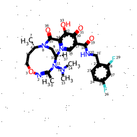 C/C1=N/OCC[C@H](C)N2C[C@H](N1N(C)C)n1cc(C(=O)NCc3ccc(F)cc3F)c(=O)c(O)c1C2=O